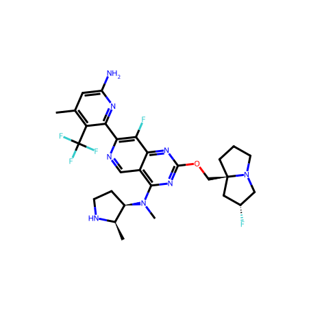 Cc1cc(N)nc(-c2ncc3c(N(C)[C@@H]4CCN[C@@H]4C)nc(OC[C@@]45CCCN4C[C@H](F)C5)nc3c2F)c1C(F)(F)F